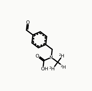 [2H]C([2H])([2H])N(Cc1ccc(C=O)cc1)C(=O)O